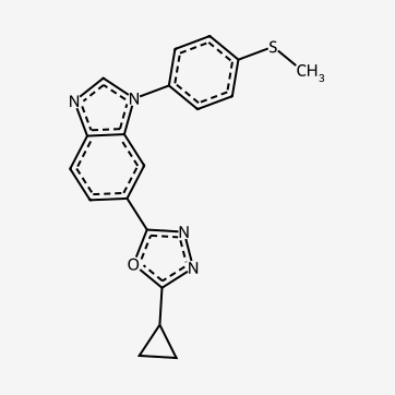 CSc1ccc(-n2cnc3ccc(-c4nnc(C5CC5)o4)cc32)cc1